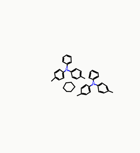 C1CCCCC1.Cc1ccc(N(c2ccccc2)c2ccc(C)cc2)cc1.Cc1ccc(N(c2ccccc2)c2ccc(C)cc2)cc1